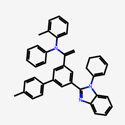 C=C(c1cc(-c2ccc(C)cc2)cc(-c2nc3ccccc3n2C2=CC=CCC2)c1)N(c1ccccc1)c1ccccc1C